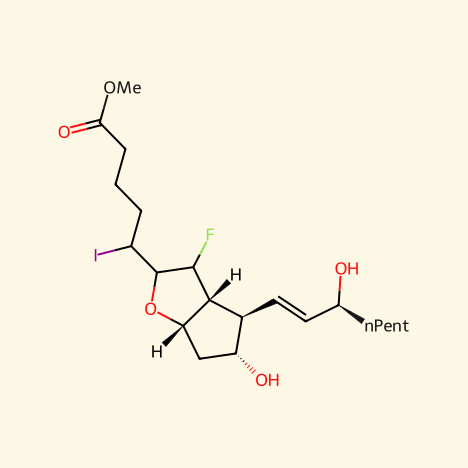 CCCCC[C@H](O)C=C[C@@H]1[C@H]2C(F)C(C(I)CCCC(=O)OC)O[C@H]2C[C@H]1O